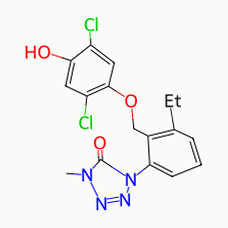 CCc1cccc(-n2nnn(C)c2=O)c1COc1cc(Cl)c(O)cc1Cl